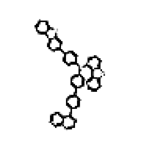 c1ccc2c(-c3ccc(-c4ccc(N(c5ccc(-c6ccc7c(c6)oc6ccccc67)cc5)c5cccc6oc7ccccc7c56)cc4)cc3)cccc2c1